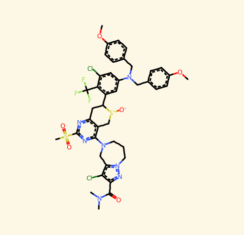 COc1ccc(CN(Cc2ccc(OC)cc2)c2cc(Cl)c(C(F)(F)F)c(C3Cc4nc(S(C)(=O)=O)nc(N5CCCn6nc(C(=O)N(C)C)c(Cl)c6C5)c4C[S+]3[O-])c2)cc1